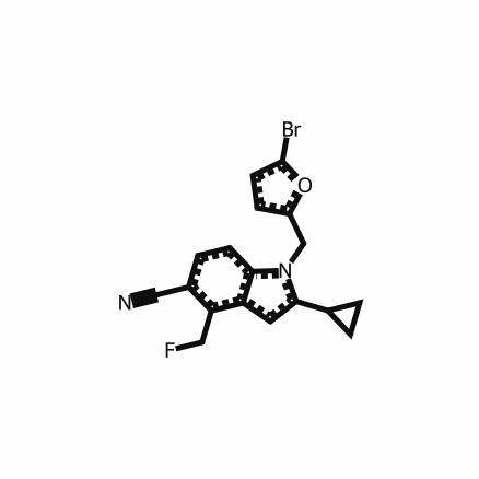 N#Cc1ccc2c(cc(C3CC3)n2Cc2ccc(Br)o2)c1CF